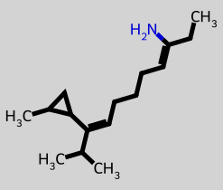 CC/C(N)=C/CCC/C=C(/C(C)C)C1CC1C